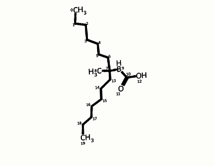 CCCCCCCC(C)(BC(=O)O)CCCCCCC